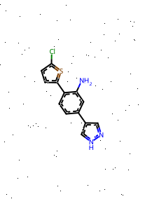 Nc1cc(-c2cn[nH]c2)ccc1-c1ccc(Cl)s1